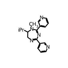 CC(C)C1CN=C(c2cccnc2)N=C(c2cccnc2)N1C